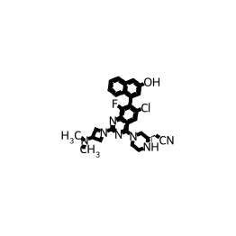 CN(C)C1CN(c2nc(N3CCN[C@@H](CC#N)C3)c3cc(Cl)c(-c4cc(O)cc5ccccc45)c(F)c3n2)C1